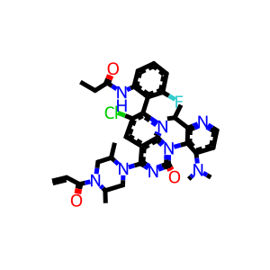 C=CC(=O)N1CC(C)N(c2nc(=O)n(-c3c(N(C)C)ccnc3C(C)C)c3nc(-c4c(F)cccc4NC(=O)CC)c(Cl)cc23)CC1C